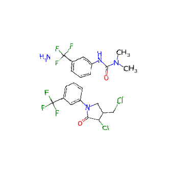 CN(C)C(=O)Nc1cccc(C(F)(F)F)c1.N.O=C1C(Cl)C(CCl)CN1c1cccc(C(F)(F)F)c1